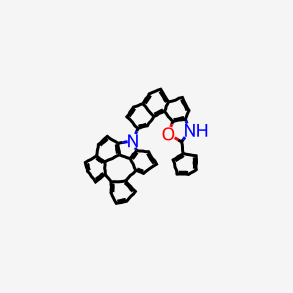 c1ccc(C2Nc3ccc4ccc5ccc(-n6c7cccc8c7c7c9c(cccc9ccc76)-c6ccccc6-8)cc5c4c3O2)cc1